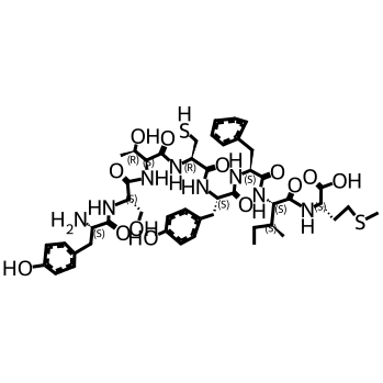 CC[C@H](C)[C@H](NC(=O)[C@H](Cc1ccccc1)NC(=O)[C@H](Cc1ccc(O)cc1)NC(=O)[C@H](CS)NC(=O)[C@@H](NC(=O)[C@H](CO)NC(=O)[C@@H](N)Cc1ccc(O)cc1)[C@@H](C)O)C(=O)N[C@@H](CCSC)C(=O)O